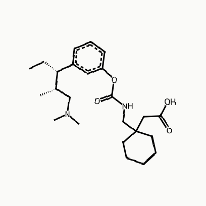 CC[C@H](c1cccc(OC(=O)NCC2(CC(=O)O)CCCCC2)c1)[C@@H](C)CN(C)C